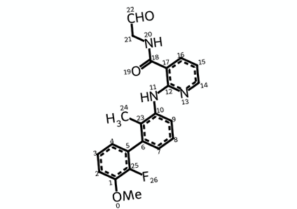 COc1cccc(-c2cccc(Nc3ncccc3C(=O)NCC=O)c2C)c1F